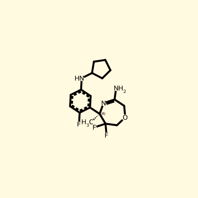 C[C@]1(c2cc(NC3CCCC3)ccc2F)N=C(N)COCC1(F)F